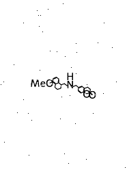 COc1cccc2c1CCCC2CCNCCc1ccc2c(c1)CCC(=O)O2